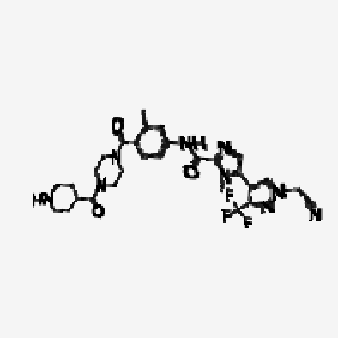 Cc1cc(NC(=O)c2ncc(-c3cn(CC#N)nc3C(F)(F)F)n2C)ccc1C(=O)N1CCN(C(=O)C2CCNCC2)CC1